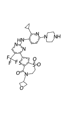 O=C1c2sc(-c3nc(Nc4ccc(N5CCNCC5)nc4C4CC4)ncc3C(F)(F)F)cc2S(=O)(=O)CCN1C1COC1